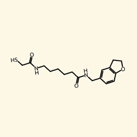 O=C(CS)NCCCCCC(=O)NCc1ccc2c(c1)CCO2